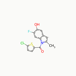 Cc1[c]c2cc(O)c(F)cc2n1C(=O)c1ccc(Cl)s1